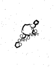 CC(C)C1NC(=O)C(CC(=O)NO[C@H]2CCCCO2)CCCCCCCCN(Cc2ccccc2)C1=O